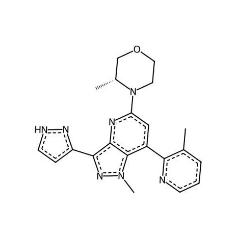 Cc1cccnc1-c1cc(N2CCOC[C@H]2C)nc2c(-c3cc[nH]n3)nn(C)c12